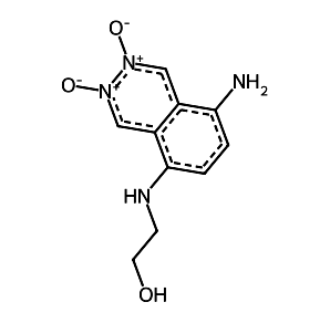 Nc1ccc(NCCO)c2c[n+]([O-])[n+]([O-])cc12